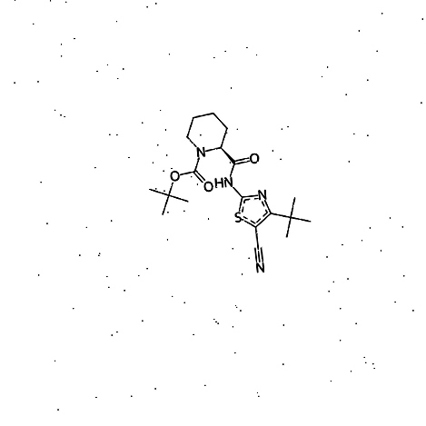 CC(C)(C)OC(=O)N1CCCC[C@H]1C(=O)Nc1nc(C(C)(C)C)c(C#N)s1